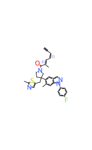 C#C/C=C\C=C(/C)C(=O)N1CCC(Cc2cnc(C)s2)(c2cc3cnn(-c4ccc(F)cc4)c3cc2C)C1